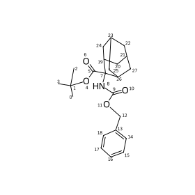 CC(C)(C)OC(=O)C1(NC(=O)OCc2ccccc2)C2CC3CC(C2)CC1C3